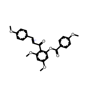 COc1ccc(/C=C/C(=O)c2c(OC)cc(OC)cc2OC(=O)c2ccc(OC)cc2)cc1